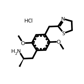 COc1cc(C[C@@H](C)N)c(OC)cc1CC1=NCCS1.Cl